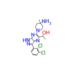 CC(O)c1nc2c(-c3cccc(Cl)c3Cl)n[nH]c2nc1N1CCC(C)(N)CC1